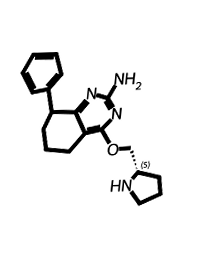 Nc1nc(OC[C@@H]2CCCN2)c2c(n1)C(c1ccccc1)CCC2